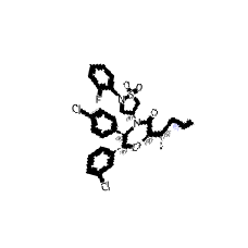 C/C=C/[C@H](C)[C@H]1O[C@H](c2cccc(Cl)c2)[C@@H](c2ccc(Cl)cc2)N([C@@H]2CN(c3ccccc3F)S(=O)(=O)C2)C1=O